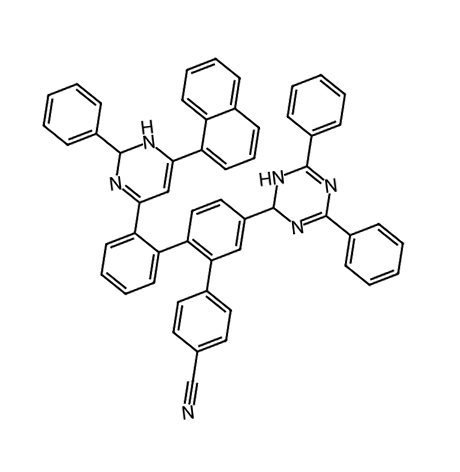 N#Cc1ccc(-c2cc(C3N=C(c4ccccc4)N=C(c4ccccc4)N3)ccc2-c2ccccc2C2=NC(c3ccccc3)NC(c3cccc4ccccc34)=C2)cc1